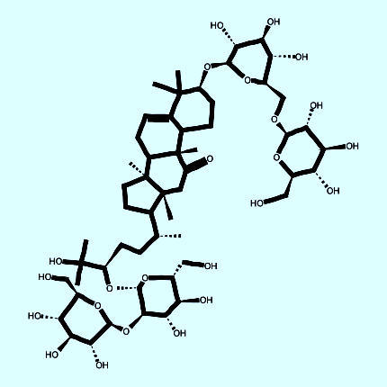 C[C@H](CC[C@@H](O[C@@H]1O[C@H](CO)[C@@H](O)[C@H](O)[C@H]1O[C@@H]1O[C@H](CO)[C@@H](O)[C@H](O)[C@H]1O)C(C)(C)O)C1CC[C@@]2(C)C3CC=C4C(CC[C@H](O[C@@H]5O[C@H](CO[C@@H]6O[C@H](CO)[C@@H](O)[C@H](O)[C@H]6O)[C@@H](O)[C@H](O)[C@H]5O)C4(C)C)[C@]3(C)C(=O)C[C@]12C